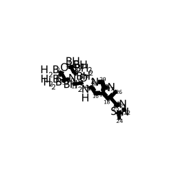 BC1(B)OC(B)(B)C(B)(B)N(CC(=O)Nc2cc3cc(-c4nnc(C)s4)cnc3cn2)C1(B)B